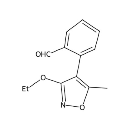 CCOc1noc(C)c1-c1ccccc1C=O